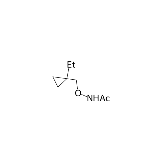 CCC1(CONC(C)=O)CC1